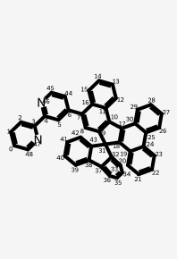 c1ccc(-c2cc(-c3cc4c(c5ccccc35)-c3c(c5ccccc5c5ccccc35)C43c4ccccc4-c4ccccc43)ccn2)nc1